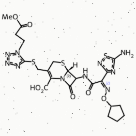 COC(=O)CCn1nnnc1SCC1=C(C(=O)O)N2C(=O)C(NC(=O)/C(=N\OC3CCCC3)c3nsc(N)n3)[C@H]2SC1